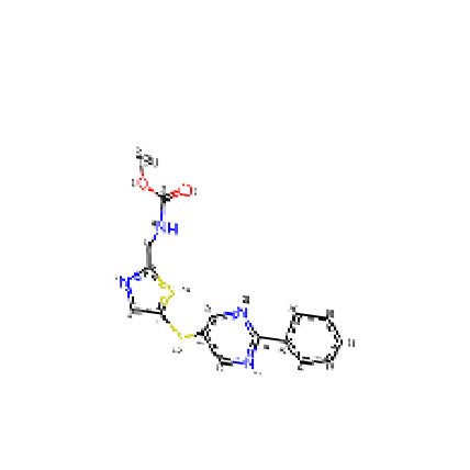 CC(C)(C)OC(=O)NCc1ncc(Sc2cnc(-c3ccccc3)nc2)s1